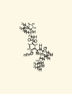 [2H]C([2H])(CNS(=O)(=O)c1ccc(OCCC)c(-c2nc3c(CC([2H])([2H])C([2H])([2H])[2H])nn(C([2H])([2H])[2H])c3c(=O)[nH]2)c1)C1CCCN1C([2H])([2H])[2H]